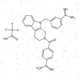 N=C(N)c1ccc(C(=O)N2CCc3c(n(Cc4cccc(C(=N)N)c4)c4ccccc34)C2)cc1.O=C(O)C(F)(F)F